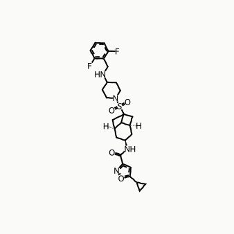 O=C(N[C@@H]1C[C@@H]2CC3(S(=O)(=O)N4CCC(NCc5c(F)cccc5F)CC4)C[C@H](C1)C23)c1cc(C2CC2)on1